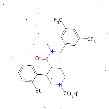 CCc1ccccc1[C@@H]1CN(C(=O)O)CC[C@H]1C(=O)N(C)Cc1cc(C(F)(F)F)cc(C(F)(F)F)c1